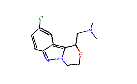 CN(C)CC1OCCn2nc3ccc(Cl)cc3c21